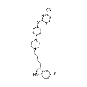 N#Cc1ccnc(Sc2ccc(N3CCN(CCCCc4c[nH]c5ccc(F)cc45)CC3)cc2)n1